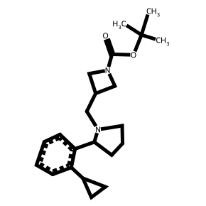 CC(C)(C)OC(=O)N1CC(CN2CCCC2c2ccccc2C2CC2)C1